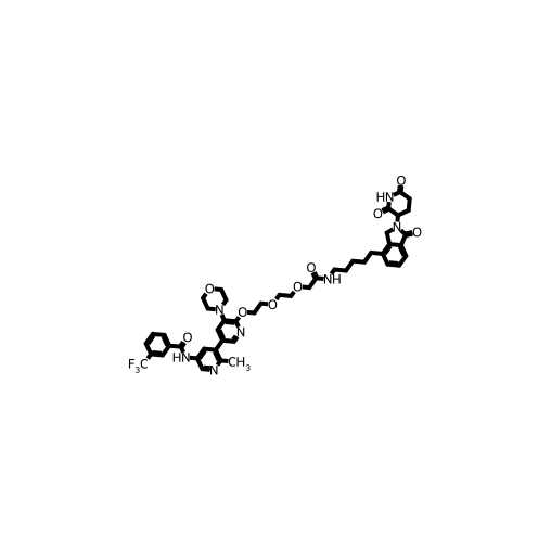 Cc1ncc(NC(=O)c2cccc(C(F)(F)F)c2)cc1-c1cnc(OCCOCCOCC(=O)NCCCCCc2cccc3c2CN(C2CCC(=O)NC2=O)C3=O)c(N2CCOCC2)c1